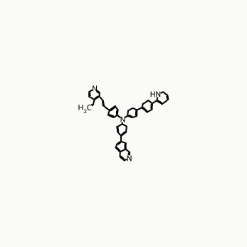 C=Cc1ccncc1/C=C/c1ccc(N(C2=CC=C(C3=CC=C(C4=CC=CCN4)CC3)CC2)C2C=CC(c3ccc4ccncc4c3)=CC2)cc1